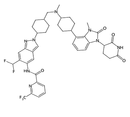 CN(CC1CCC(n2cc3cc(NC(=O)c4cccc(C(F)(F)F)n4)c(C(F)F)cc3n2)CC1)C1CCC(c2cccc3c2n(C)c(=O)n3C2CCC(=O)NC2=O)CC1